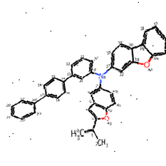 CC(C)c1cc2cc(N(c3cccc(-c4ccc(-c5ccccc5)cc4)c3)c3ccc4c(c3)oc3ccccc34)ccc2o1